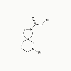 CC(C)N1CCCC2(CCN(C(=O)CO)C2)C1